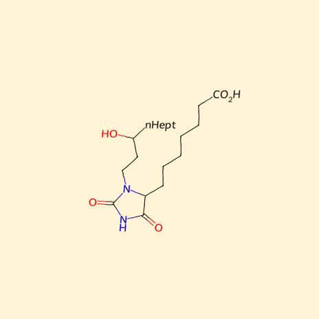 CCCCCCCC(O)CCN1C(=O)NC(=O)C1CCCCCCC(=O)O